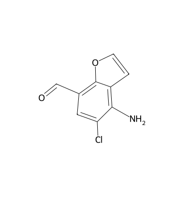 Nc1c(Cl)cc(C=O)c2occc12